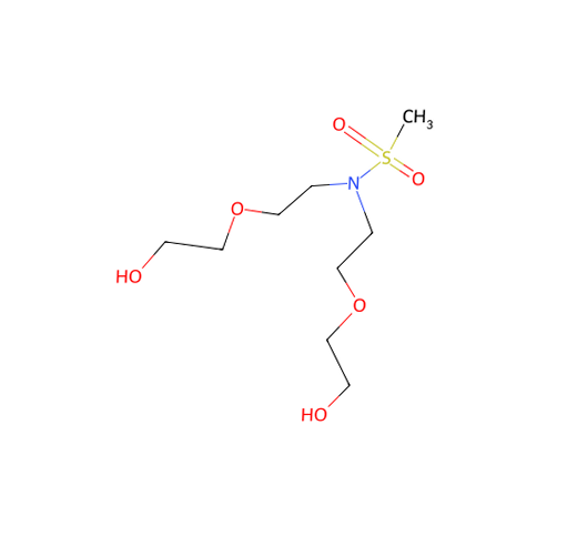 CS(=O)(=O)N(CCOCCO)CCOCCO